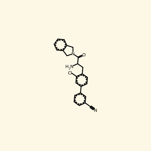 N#Cc1cccc(-c2ccc(CC(N)C(=O)N3Cc4ccccc4C3)c(Cl)c2)c1